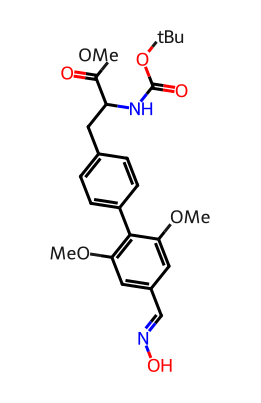 COC(=O)C(Cc1ccc(-c2c(OC)cc(C=NO)cc2OC)cc1)NC(=O)OC(C)(C)C